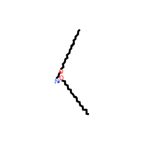 C=[N+](C)CC(COCCCCCCCCCC/C=C/CCCCCC)OCCCCCCCC/C=C/CCCCCCCC